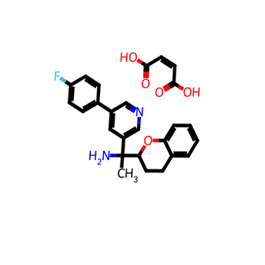 CC(N)(c1cncc(-c2ccc(F)cc2)c1)C1CCc2ccccc2O1.O=C(O)/C=C\C(=O)O